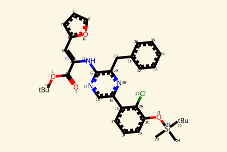 CC(C)(C)OC(=O)/C(=C/c1ccco1)Nc1ncc(-c2cccc(O[Si](C)(C)C(C)(C)C)c2Cl)nc1Cc1ccccc1